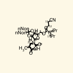 CCCCCCCCCC1(CCCCCCCCC)O[C@@H]2[C@H](O1)[C@@H](COP(OCCC#N)N(C(C)C)C(C)C)O[C@H]2n1cc(C)c(=O)[nH]c1=O